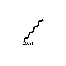 C=CCCCCC=CC(=O)OCC